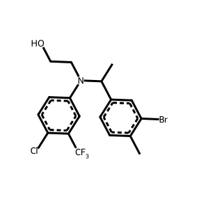 Cc1ccc(C(C)N(CCO)c2ccc(Cl)c(C(F)(F)F)c2)cc1Br